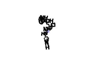 N=C/C(=C\NCCC1CCCNCC1)c1ccc(Cl)c(CCC(O)c2coc(N=N)n2)c1